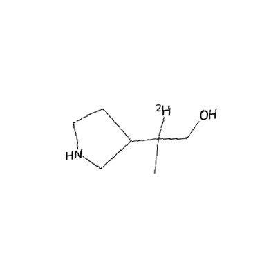 [2H]C(C)(CO)C1CCNC1